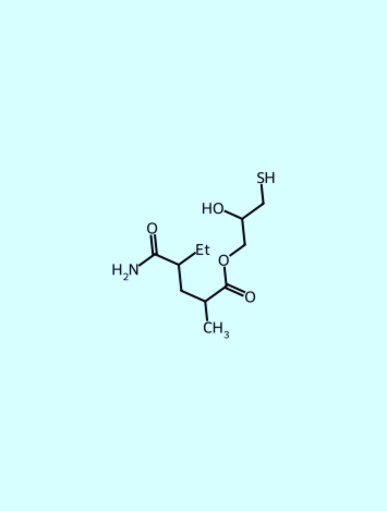 CCC(CC(C)C(=O)OCC(O)CS)C(N)=O